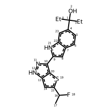 CCC(O)(CC)c1ccc2cc(-c3n[nH]c4cc(C(C)F)sc34)[nH]c2c1